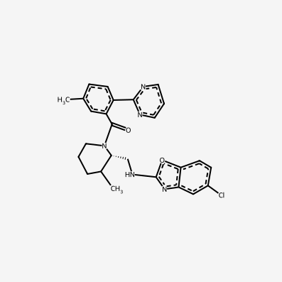 Cc1ccc(-c2ncccn2)c(C(=O)N2CCCC(C)[C@H]2CNc2nc3cc(Cl)ccc3o2)c1